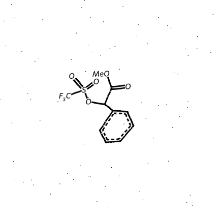 COC(=O)C(OS(=O)(=O)C(F)(F)F)c1ccccc1